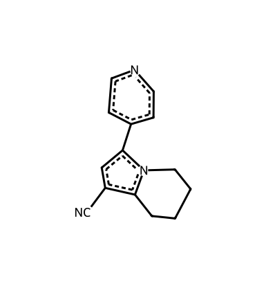 N#Cc1cc(-c2ccncc2)n2c1CCCC2